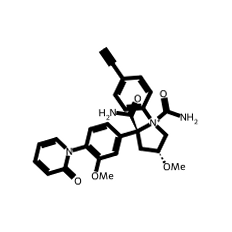 C#Cc1ccc([N+]2(C(N)=O)C[C@H](OC)C[C@]2(C(N)=O)c2ccc(-n3ccccc3=O)c(OC)c2)cc1